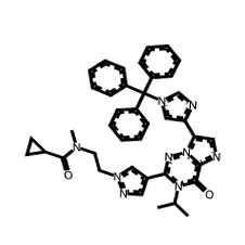 CC(C)n1c(-c2cnn(CCN(C)C(=O)C3CC3)c2)nn2c(-c3cn(C(c4ccccc4)(c4ccccc4)c4ccccc4)cn3)cnc2c1=O